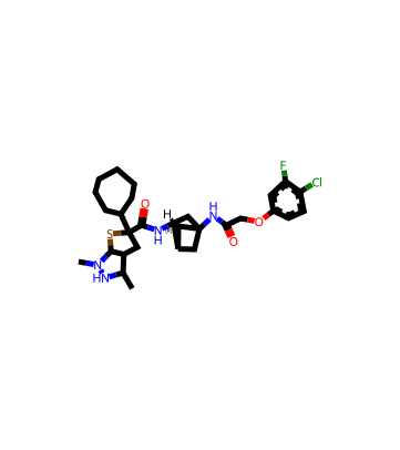 CC1NN(C)C2SC(C(=O)N[C@@H]3CC4(NC(=O)COc5ccc(Cl)c(F)c5)CC3C4)(C3CCCCCC3)CC12